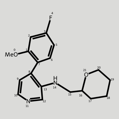 COc1cc(F)ccc1-c1ccncc1NCC1CCCCO1